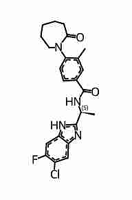 Cc1cc(C(=O)N[C@@H](C)c2nc3cc(Cl)c(F)cc3[nH]2)ccc1N1CCCCCC1=O